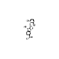 CCNc1ccc2sc3[n+](c2c1)CCN3Cc1c(Cl)cccc1Cl.[Cl-]